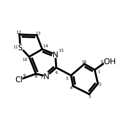 Oc1cccc(-c2nc(Cl)c3sccc3n2)c1